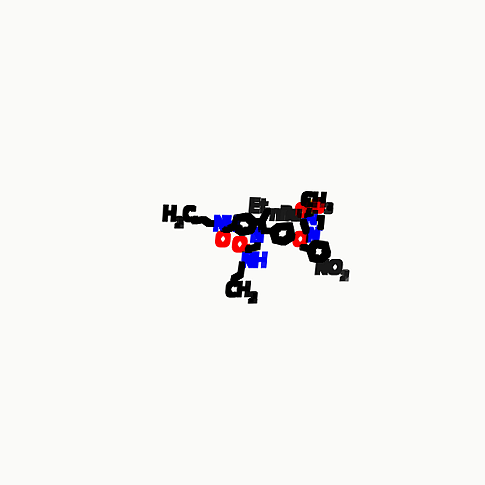 C=CCCNC(=O)Cn1c(-c2ccc(OCc3cc([N+](=O)[O-])ccc3N3CCN(S(C)(=O)=O)CC3)cc2)c(C(CC)CCCC)c2ccc(C(=O)NCCC=C)cc21